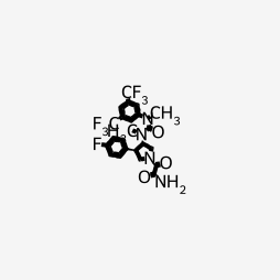 CN(C(=O)N(C)[C@@H]1CN(C(=O)C(N)=O)C[C@H]1c1ccc(F)cc1)c1cc(C(F)(F)F)cc(C(F)(F)F)c1